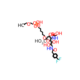 C#CCOCCOP(=O)(O)OCCCCCCO[C@]1(C(=O)O)C[C@H](O)[C@@H](NC(=O)CO)[C@H]([C@H](O)[C@H](O)CNC(=O)Cc2ccc(C(F)F)cc2)O1